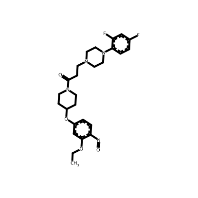 CCOc1cc(OC2CCN(C(=O)CCN3CCN(c4ccc(F)cc4F)CC3)CC2)ccc1N=O